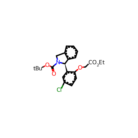 CCOC(=O)COc1ccc(Cl)cc1[C@@H]1c2ccccc2CN1C(=O)OC(C)(C)C